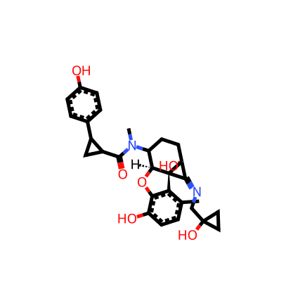 Cc1ccc(O)c2c1[C@]13/C(=N\CC4(O)CC4)C1(O)CCC(N(C)C(=O)C1CC1c1ccc(O)cc1)[C@@H]3O2